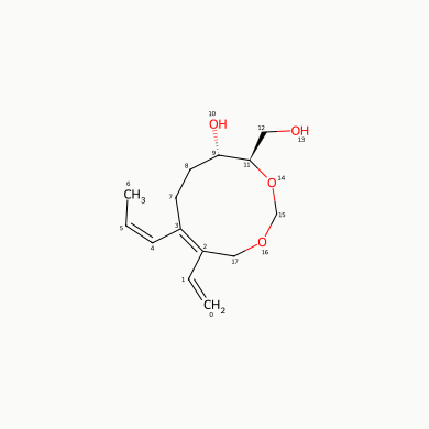 C=C/C1=C(\C=C/C)CC[C@H](O)[C@@H](CO)OCOC1